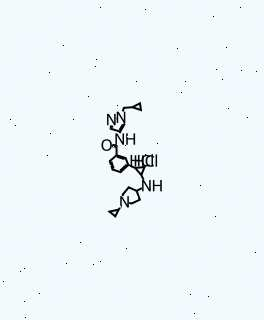 Cl.Cl.O=C(Nc1cnn(CC2CC2)c1)c1cccc(C2CC2NC2CCN(C3CC3)CC2)c1